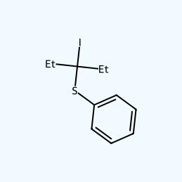 CCC(I)(CC)Sc1ccccc1